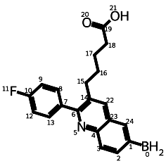 Bc1ccc2nc(-c3ccc(F)cc3)c(CCCCC(=O)O)cc2c1